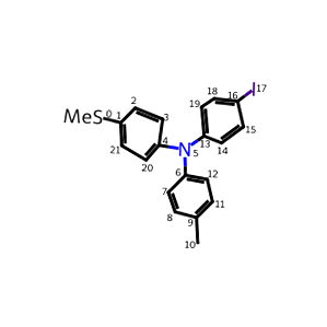 CSc1ccc(N(c2ccc(C)cc2)c2ccc(I)cc2)cc1